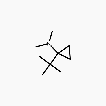 CN(C)C1(C(C)(C)C)CC1